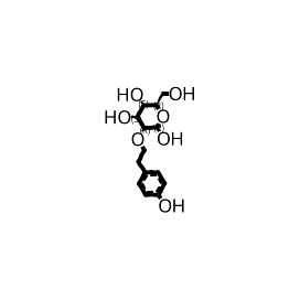 OC[C@H]1O[C@@H](O)[C@H](OCCc2ccc(O)cc2)[C@@H](O)[C@@H]1O